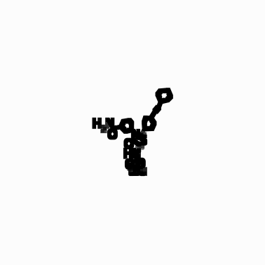 CC(C)(C)OC(=O)NC[C@H]1S[C@@H](c2ccc(C#Cc3ccccc3)cc2)N(c2cccc(C(N)=O)c2)C1=O